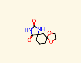 O=C1NC(=O)C2(CCCC3(C2)OCCO3)N1